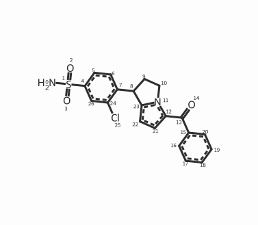 NS(=O)(=O)c1ccc(C2CCn3c(C(=O)c4ccccc4)ccc32)c(Cl)c1